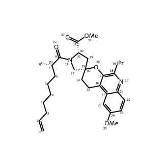 C=CCCCCC[C@H](C)C(=O)N1C[C@]2(CCc3c(c(C(C)C)nc4ccc(OC)cc34)O2)C[C@H]1C(=O)OC